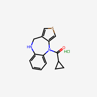 Cl.O=C(C1CC1)N1c2cscc2CNc2ccccc21